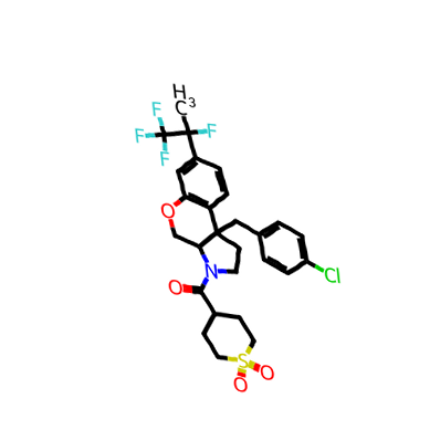 CC(F)(c1ccc2c(c1)OCC1N(C(=O)C3CCS(=O)(=O)CC3)CCC21Cc1ccc(Cl)cc1)C(F)(F)F